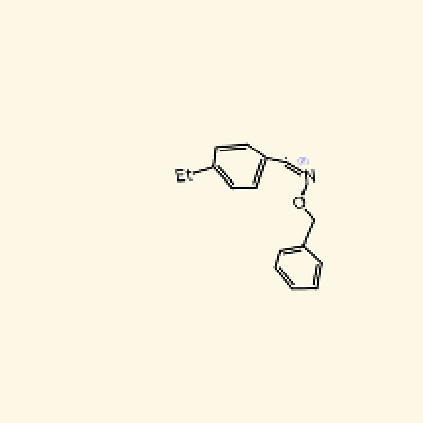 CCc1ccc(/[C]=N\OCc2ccccc2)cc1